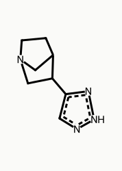 c1n[nH]nc1C1CN2CCC1C2